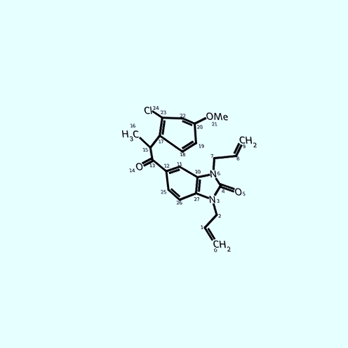 C=CCn1c(=O)n(CC=C)c2cc(C(=O)C(C)c3ccc(OC)cc3Cl)ccc21